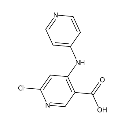 O=C(O)c1cnc(Cl)cc1Nc1ccncc1